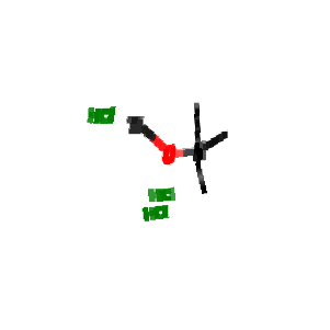 C[Si](C)(C)[O][Ti].Cl.Cl.Cl